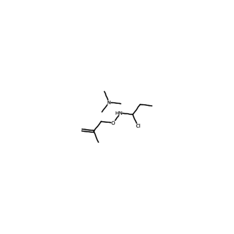 C=C(C)CONC(Cl)CC.CN(C)C